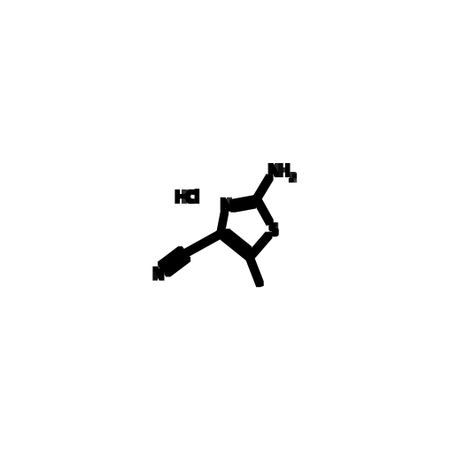 Cc1sc(N)nc1C#N.Cl